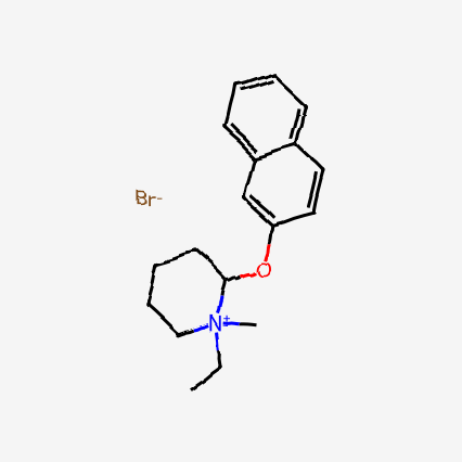 CC[N+]1(C)CCCCC1Oc1ccc2ccccc2c1.[Br-]